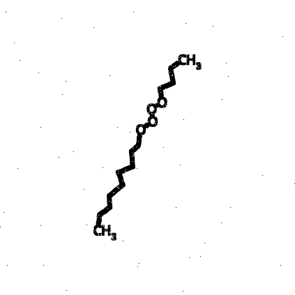 CCCCCCCCCOOOOCCCC